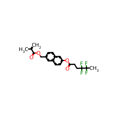 C=C(C)C(=O)OCc1ccc2cc(OC(=O)CCC(F)(F)C(C)(F)F)ccc2c1